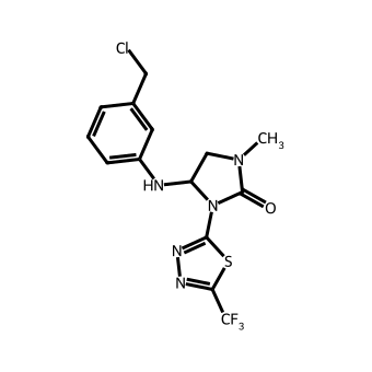 CN1CC(Nc2cccc(CCl)c2)N(c2nnc(C(F)(F)F)s2)C1=O